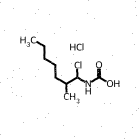 CCCCCC(C)C(Cl)NC(=O)O.Cl